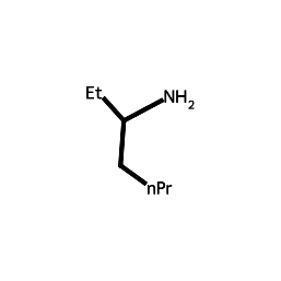 [CH2]CC(N)CCCC